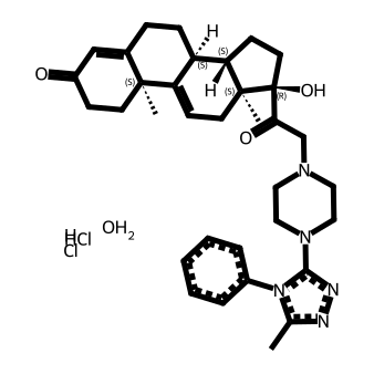 Cc1nnc(N2CCN(CC(=O)[C@@]3(O)CC[C@H]4[C@@H]5CCC6=CC(=O)CC[C@]6(C)C5=CC[C@@]43C)CC2)n1-c1ccccc1.Cl.Cl.O